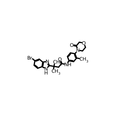 Cc1cc(NC(=O)CC(C)(C)c2nc3cc(Br)ccc3[nH]2)ccc1N1CCOCC1=O